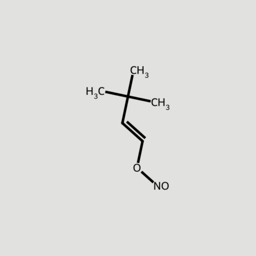 CC(C)(C)C=CON=O